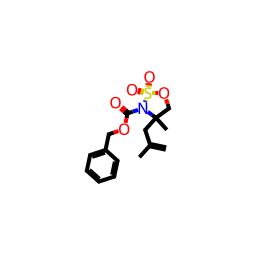 C=C(C)CC1(C)COS(=O)(=O)N1C(=O)OCc1ccccc1